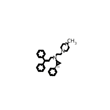 CN1CCN(CCN(CC=C(c2ccccc2)c2ccccc2)C2C[C@H]2c2ccccc2)CC1